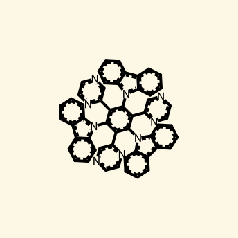 c1ccc2c(c1)c1ccccc1n2-c1c(-c2cnccn2)c(-n2c3ccccc3c3ccccc32)c(-c2cnccn2)c(-n2c3ccccc3c3ccccc32)c1-c1cnccn1